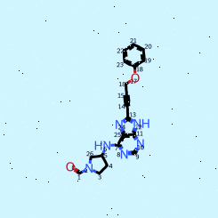 O=CN1CCC(Nc2ncnc3[nH]c(C#CCOc4ccccc4)nc23)C1